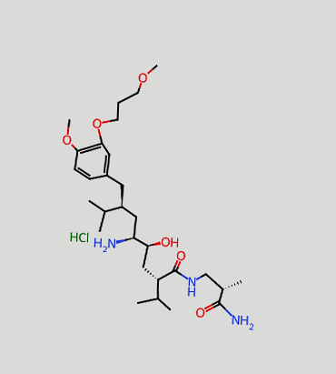 COCCCOc1cc(C[C@@H](C[C@H](N)[C@@H](O)C[C@H](C(=O)NC[C@H](C)C(N)=O)C(C)C)C(C)C)ccc1OC.Cl